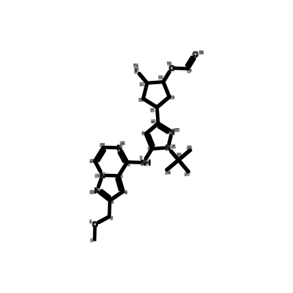 COCc1cc2c(Nc3cc(C4CC(F)C(OC=O)C4)nn3C(C)(C)C)nccn2n1